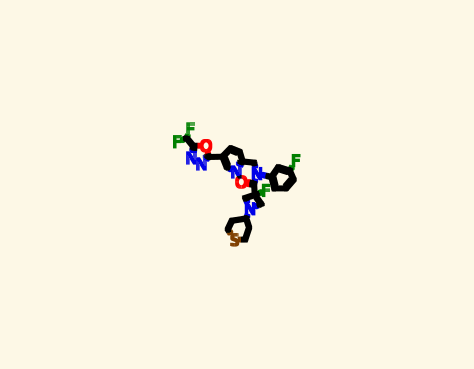 O=C(N(Cc1ccc(-c2nnc(C(F)F)o2)cn1)c1cccc(F)c1)C1(F)CN(C2CCSCC2)C1